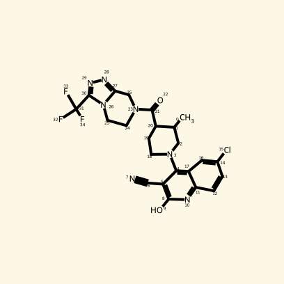 CC1CN(c2c(C#N)c(O)nc3ccc(Cl)cc23)CCC1C(=O)N1CCn2c(nnc2C(F)(F)F)C1